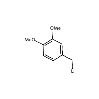 [Li][CH2]c1ccc(OC)c(OC)c1